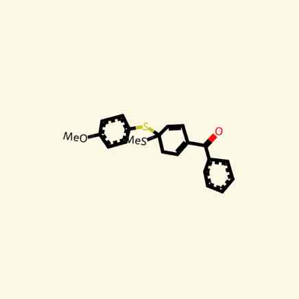 COc1ccc(SC2(SC)C=CC(C(=O)c3ccccc3)=CC2)cc1